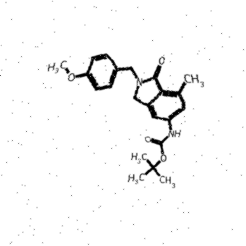 COc1ccc(CN2Cc3cc(NC(=O)OC(C)(C)C)cc(C)c3C2=O)cc1